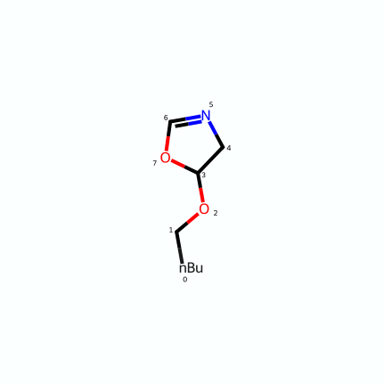 CCCCCOC1CN=CO1